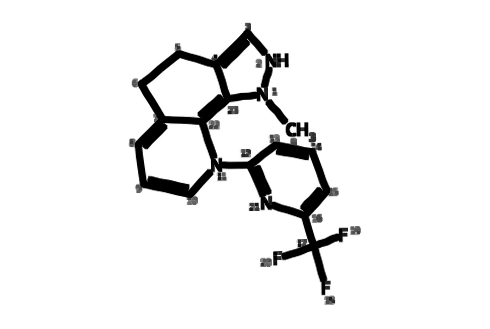 CN1NC=C2CCC3=CC=CN(c4cccc(C(F)(F)F)n4)C3=C21